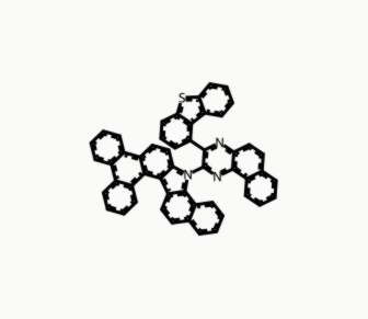 c1ccc2c(c1)ccc1nc(-c3cccc4sc5ccccc5c34)c(-n3c4ccc5c6ccccc6c6ccccc6c5c4c4ccc5ccccc5c43)nc12